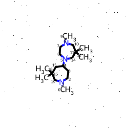 CN1CCC(N2CCN(C)CC(C)(C)C2)CC(C)(C)C1